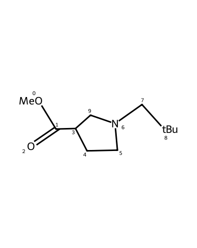 COC(=O)C1CCN(CC(C)(C)C)C1